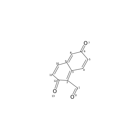 O=[C]C1=C2C=CC(=O)C=C2C=CC1=O